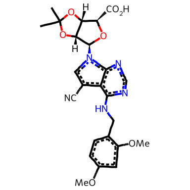 COc1ccc(CNc2ncnc3c2c(C#N)cn3[C@@H]2O[C@H](C(=O)O)[C@H]3OC(C)(C)O[C@H]32)c(OC)c1